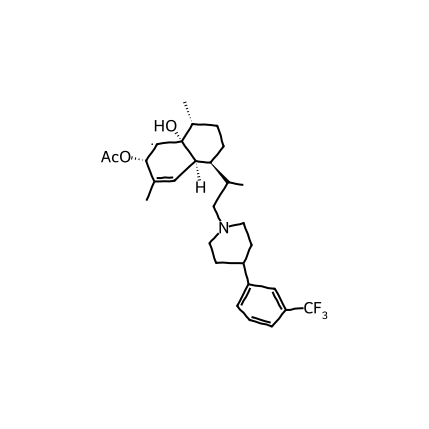 CC(=O)O[C@@H]1[CH][C@@]2(O)[C@H](C)CC[C@@H](C(C)CN3CCC(c4cccc(C(F)(F)F)c4)CC3)[C@H]2C=C1C